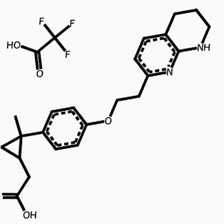 CC1(c2ccc(OCCc3ccc4c(n3)NCCC4)cc2)CC1CC(=O)O.O=C(O)C(F)(F)F